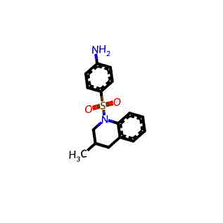 CC1Cc2ccccc2N(S(=O)(=O)c2ccc(N)cc2)C1